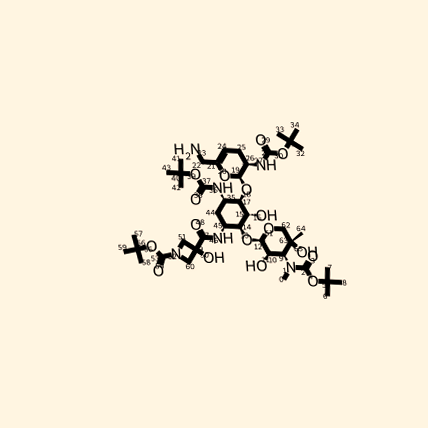 CN(C(=O)OC(C)(C)C)[C@@H]1[C@@H](O)[C@@H](O[C@@H]2[C@@H](O)[C@H](O[C@H]3OC(CN)=CC[C@H]3NC(=O)OC(C)(C)C)[C@@H](NC(=O)OC(C)(C)C)C[C@H]2NC(=O)C2(O)CN(C(=O)OC(C)(C)C)C2)OC[C@]1(C)O